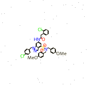 COc1ccc(CN(Cc2ccc(OC)cc2)S(=O)(=O)c2cc(NC(=O)Cc3ccccc3Cl)cc3c2cnn3Cc2ccc(Cl)cc2)cc1